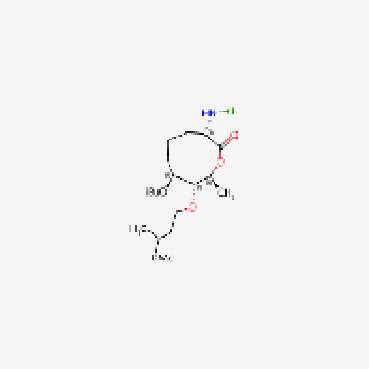 COC(C)CCO[C@H]1[C@H](C)OC(=O)[C@@H](NCl)CCC[C@@H]1OCC(C)C